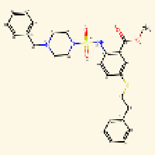 COC(=O)c1cc(SCCc2ccccc2)ccc1NS(=O)(=O)N1CCN(Cc2ccccc2)CC1